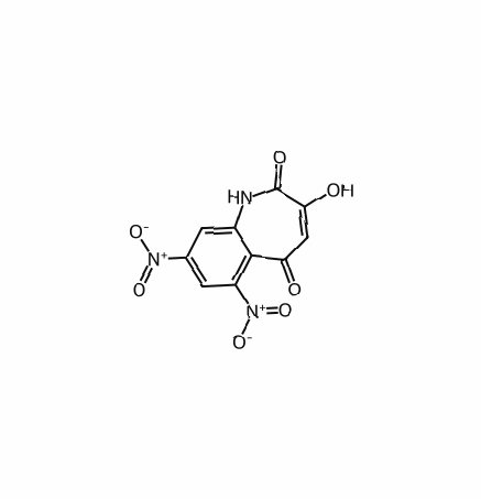 O=c1[nH]c2cc([N+](=O)[O-])cc([N+](=O)[O-])c2c(=O)cc1O